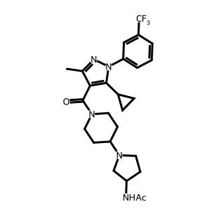 CC(=O)NC1CCN(C2CCN(C(=O)c3c(C)nn(-c4cccc(C(F)(F)F)c4)c3C3CC3)CC2)C1